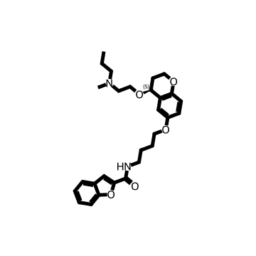 CCCN(C)CCO[C@H]1CCOc2ccc(OCCCCNC(=O)c3cc4ccccc4o3)cc21